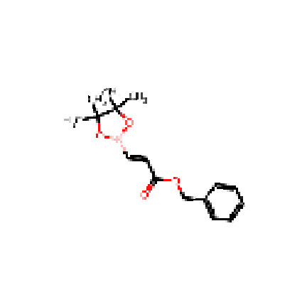 CC1(C)OB(/C=C/C(=O)OCc2ccccc2)OC1(C)C